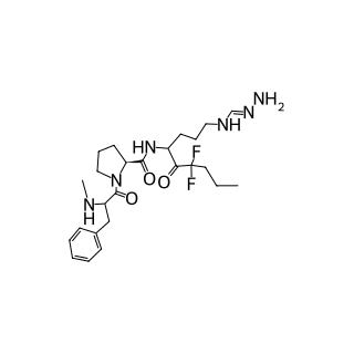 CCCC(F)(F)C(=O)C(CCCNC=NN)NC(=O)[C@@H]1CCCN1C(=O)C(Cc1ccccc1)NC